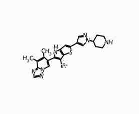 Cc1c(-c2[nH]c3cc(-c4cnn(C5CCNCC5)c4)sc3c2C(C)C)cn2ncnc2c1C